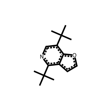 CC(C)(C)c1ncc(C(C)(C)C)c2occc12